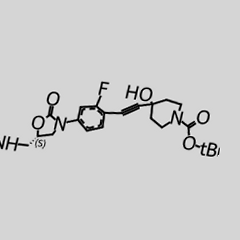 CC(=O)NC[C@H]1CN(c2ccc(C#CC3(O)CCN(C(=O)OC(C)(C)C)CC3)c(F)c2)C(=O)O1